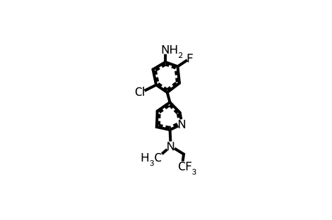 CN(CC(F)(F)F)c1ccc(-c2cc(F)c(N)cc2Cl)cn1